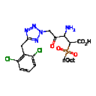 CCCCCCCCS(=O)(=O)C(C(=O)O)C(N)C(=O)Cn1nnc(Cc2c(Cl)cccc2Cl)n1